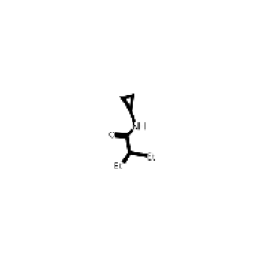 CCC(CC)C(=O)NC1CC1